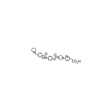 O=C(O)Cc1ccc(N2CCN(C(=O)Oc3ccc(NC(=O)c4ccc(CN5CCCCC5)cc4)cc3)CC2)nc1